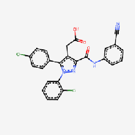 N#Cc1cccc(NC(=O)c2nn(-c3ccccc3Cl)c(-c3ccc(Cl)cc3)c2CC(=O)O)c1